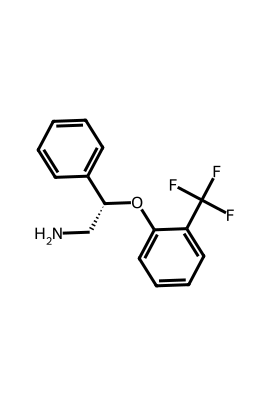 NC[C@@H](Oc1ccccc1C(F)(F)F)c1ccccc1